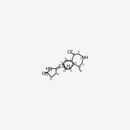 CC1CNCC(Cl)c2ccccc21.O=C1CCC(C(=O)O)N1